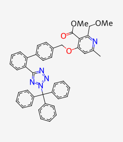 COCc1nc(C)cc(OCc2ccc(-c3ccccc3-c3nnn(C(c4ccccc4)(c4ccccc4)c4ccccc4)n3)cc2)c1C(=O)OC